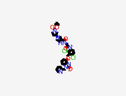 COc1nc2c(OCc3c(Cl)ccc(N(C)C(=O)CNC(=O)C4CCN(C5CCN(C(=O)OC(C)(C)C)C5)C4)c3Cl)cccc2n1Cc1ccccn1